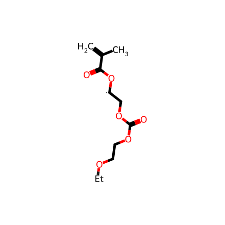 [CH2]COCCOC(=O)OC[CH]OC(=O)C(=C)C